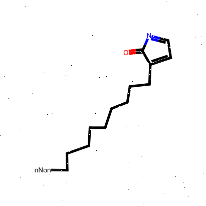 CCCCCCCCCCCCCCCCCCC1=CC=NC1=O